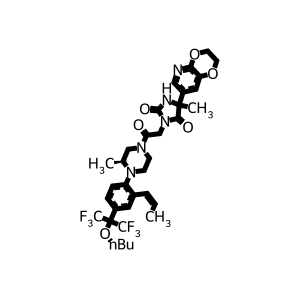 C/C=C\c1cc(C(OCCCC)(C(F)(F)F)C(F)(F)F)ccc1N1CCN(C(=O)CN2C(=O)NC(C)(c3cnc4c(c3)OCCO4)C2=O)C[C@@H]1C